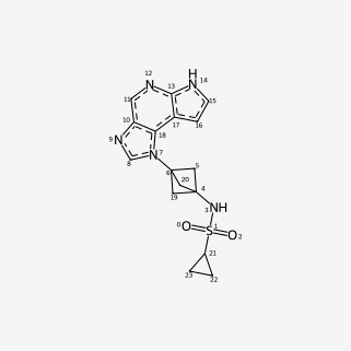 O=S(=O)(NC12CC(n3cnc4cnc5[nH]ccc5c43)(C1)C2)C1CC1